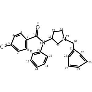 O=C(c1ccc(Cl)cc1)N(c1ccccc1)C1CCN(Cc2ccccc2)C1